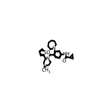 CN1CCN(C(=O)c2ccc(NC(=O)C3CC3)cc2N2CCCCCC2)C(c2cccs2)C1